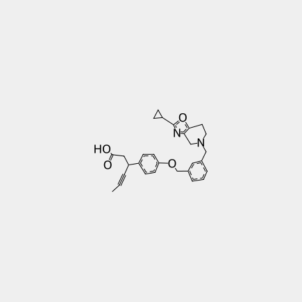 CC#CC(CC(=O)O)c1ccc(OCc2cccc(CN3CCc4oc(C5CC5)nc4C3)c2)cc1